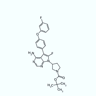 CC(C)(C)OC(=O)N1CCC(n2c(F)c(-c3ccc(Oc4cccc(F)c4)cc3)c3c(N)ncnc32)C1